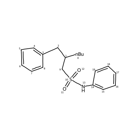 CCCCC(Cc1ccccc1)CS(=O)(=O)Nc1ccccc1